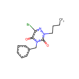 O=c1c(Br)nn(CCCC(F)(F)F)c(=O)n1Cc1ccccc1